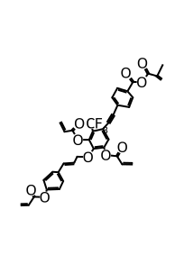 C=CC(=O)Oc1ccc(/C=C/COc2c(OC(=O)C=C)cc(C#Cc3ccc(C(=O)OC(=O)C(=C)C)cc3)c(C(F)(F)F)c2OC(=O)C=C)cc1